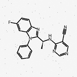 C[C@H](Nc1ncncc1C#N)c1nc2ccc(F)cc2n1-c1ccccc1